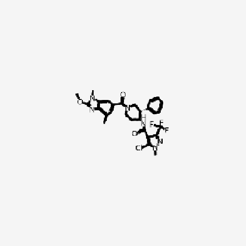 COc1nc2c(C)cc(C(=O)N3CC[C@@H](NC(=O)c4c(C(F)(F)F)nn(C)c4Cl)[C@@H](c4ccccc4)C3)cc2n1C